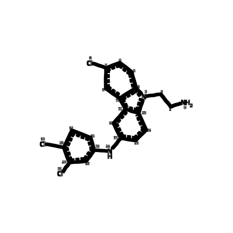 NCCn1c2ccc(Cl)cc2c2cc(Nc3ccc(Cl)c(Cl)c3)ccc21